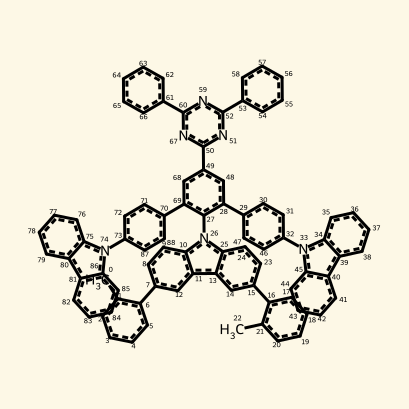 Cc1ccccc1-c1ccc2c(c1)c1cc(-c3ccccc3C)ccc1n2-c1c(-c2ccc(-n3c4ccccc4c4ccccc43)cc2)cc(-c2nc(-c3ccccc3)nc(-c3ccccc3)n2)cc1-c1ccc(-n2c3ccccc3c3ccccc32)cc1